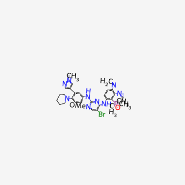 C=Nc1ccc(Nc2nc(Nc3cc(-c4cnn(C)c4)c(N4CCCCC4)cc3OC)ncc2Br)c(P(C)(C)=O)c1/N=C\C